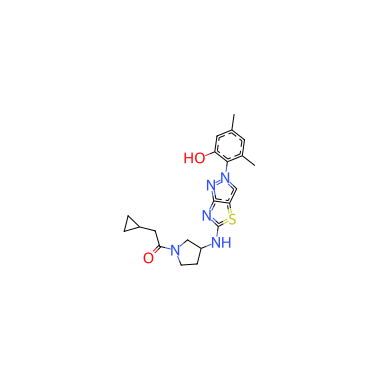 Cc1cc(C)c(-n2cc3sc(NC4CCN(C(=O)CC5CC5)C4)nc3n2)c(O)c1